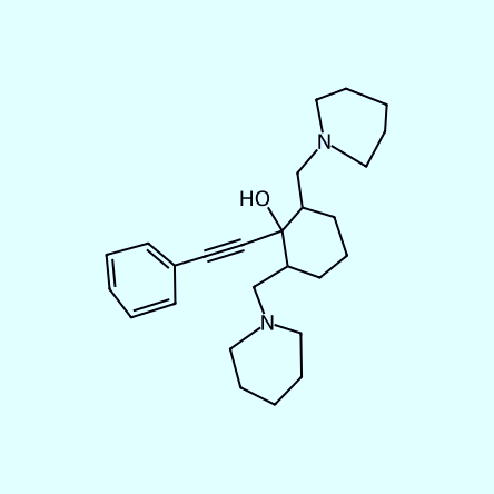 OC1(C#Cc2ccccc2)C(CN2CCCCC2)CCCC1CN1CCCCC1